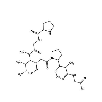 CCC(C)C(C(CC(=O)N1CCCC1C(OC)C(C)C(=O)NCC(=O)O)OC)N(C)C(=O)CNC(=O)C1CCCN1